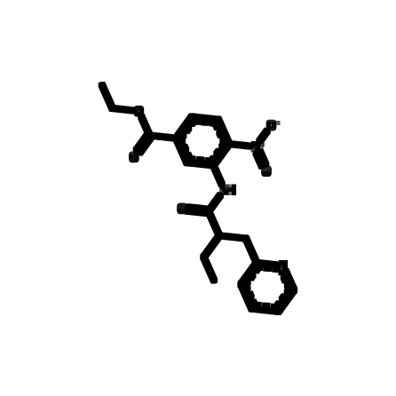 CCOC(=O)c1ccc([N+](=O)[O-])c(NC(=O)C(CC)Cc2ccccn2)c1